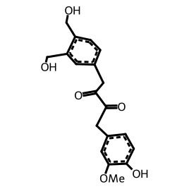 COc1cc(CC(=O)C(=O)Cc2ccc(CO)c(CO)c2)ccc1O